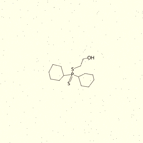 OCCSP(=S)(C1CCCCC1)C1CCCCC1